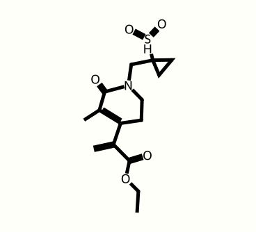 C=C(C(=O)OCC)C1=C(C)C(=O)N(CC2([SH](=O)=O)CC2)CC1